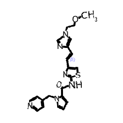 COCCn1cnc(/C=C/c2csc(NC(=O)c3cccn3Cc3ccncc3)n2)c1